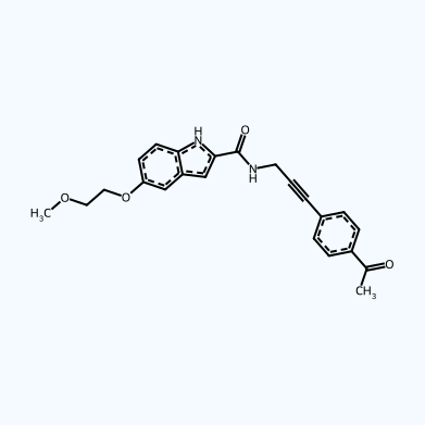 COCCOc1ccc2[nH]c(C(=O)NCC#Cc3ccc(C(C)=O)cc3)cc2c1